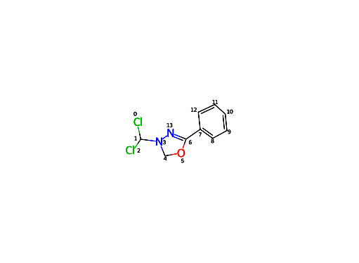 ClC(Cl)N1COC(c2ccccc2)=N1